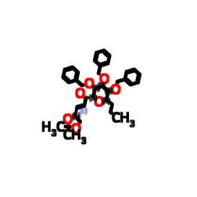 CCC[C@H]1O[C@H](C(=O)/C=C/[C@H]2COC(C)(C)O2)[C@@H](OCc2ccccc2)[C@H](OCc2ccccc2)[C@H]1OCc1ccccc1